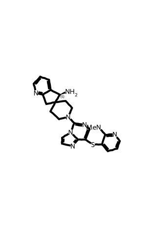 CNc1ncccc1Sc1cnc(N2CCC3(CC2)Cc2ncccc2[C@H]3N)n2ccnc12